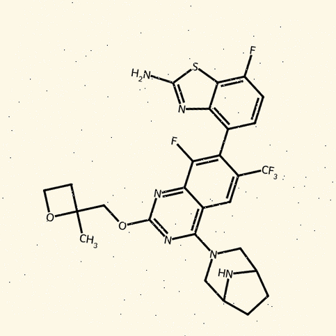 CC1(COc2nc(N3CC4CCC(C3)N4)c3cc(C(F)(F)F)c(-c4ccc(F)c5sc(N)nc45)c(F)c3n2)CCO1